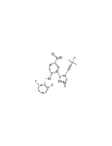 Cn1cc(C#CC(C)(C)C)c(-c2cc([N+](=O)[O-])ccc2OCc2c(F)cccc2F)n1